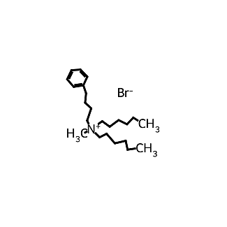 CCCCCC[N+](C)(CCCCCC)CCCCc1ccccc1.[Br-]